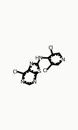 Clc1cncc(Cl)c1Nc1nc2c(Cl)ncnc2s1